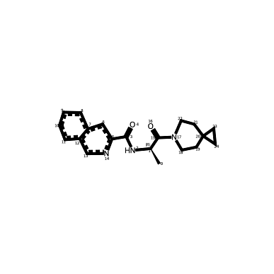 C[C@@H](NC(=O)c1cc2ccccc2cn1)C(=O)N1CCC2(CC1)CC2